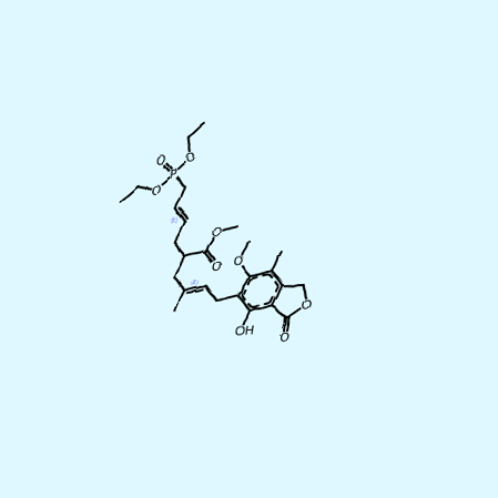 CCOP(=O)(C/C=C/CC(C/C(C)=C/Cc1c(O)c2c(c(C)c1OC)COC2=O)C(=O)OC)OCC